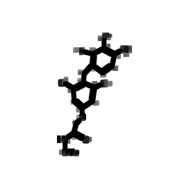 CONC(=O)COc1cc(Cl)c(Cc2ccc(O)c(C(C)C)c2F)c(Cl)c1